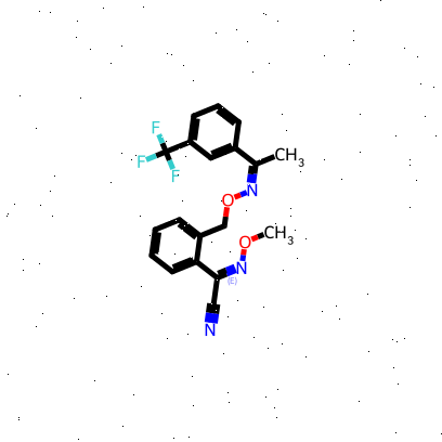 CO/N=C(/C#N)c1ccccc1CON=C(C)c1cccc(C(F)(F)F)c1